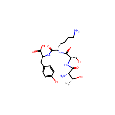 C[C@@H](O)[C@H](N)C(=O)N[C@@H](CO)C(=O)N[C@@H](CCCCN)C(=O)N[C@@H](Cc1ccc(O)cc1)C(=O)O